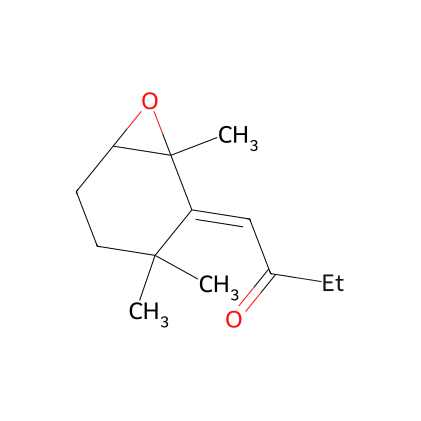 CCC(=O)C=C1C(C)(C)CCC2OC12C